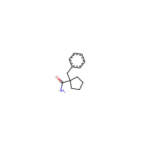 NC(=O)C1([CH]c2ccccc2)CCCC1